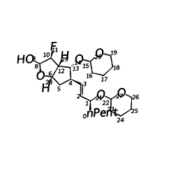 CCCCC[C@@H](C=C[C@H]1C[C@@H]2OC(O)[C@@H](F)[C@@H]2[C@@H]1OC1CCCCO1)OC1CCCCO1